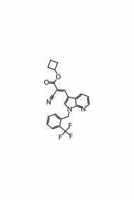 N#C/C(=C\c1cn(Cc2ccccc2C(F)(F)F)c2ncccc12)C(=O)OC1CCC1